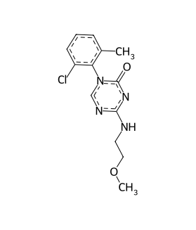 COCCNc1ncn(-c2c(C)cccc2Cl)c(=O)n1